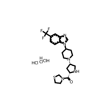 Cl.Cl.Cl.O=C([C@@H]1C[C@H](N2CCC(n3cnc4cc(C(F)(F)F)ccc43)CC2)CN1)N1CCSC1